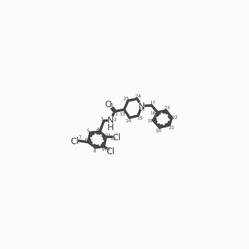 O=C(NCc1cc(Cl)cc(Cl)c1Cl)C1CCN(Cc2ccccc2)CC1